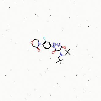 CC(C)(C)CN(CC(C)(C)C)[C@H](C(N)=O)C(=O)Nc1ccc(N2CCOCC2=O)c(F)c1